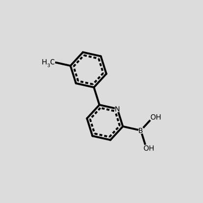 Cc1cccc(-c2cccc(B(O)O)n2)c1